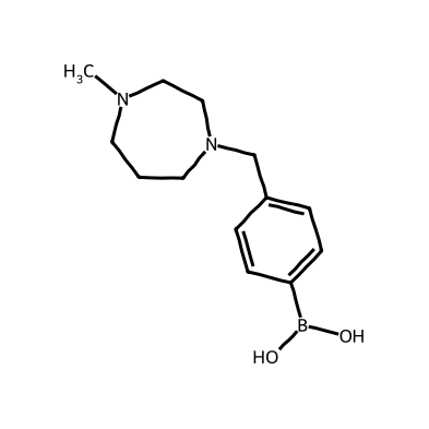 CN1CCCN(Cc2ccc(B(O)O)cc2)CC1